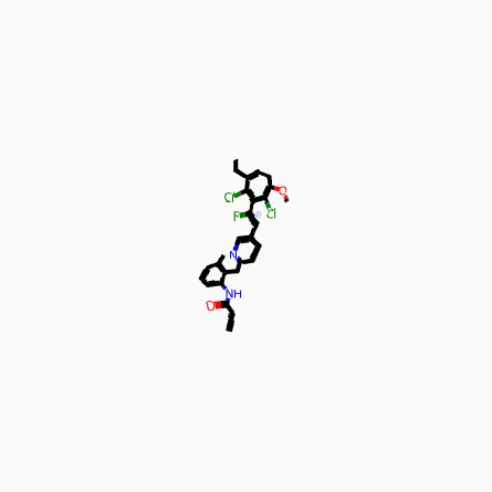 C=CC(=O)Nc1cccc(C)c1Cc1ccc(/C=C(\F)C2=C(Cl)C(CC)=CCC(OC)=C2Cl)cn1